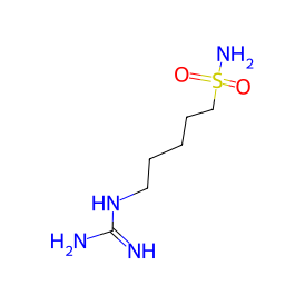 N=C(N)NCCCCCS(N)(=O)=O